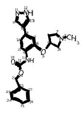 CN1CCC(Oc2cc(-c3cn[nH]c3)ccc2NC(=O)OCc2ccccc2)C1